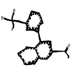 CC(=O)c1cc(-c2cccc(C(F)(F)F)c2)c2ccccc2c1